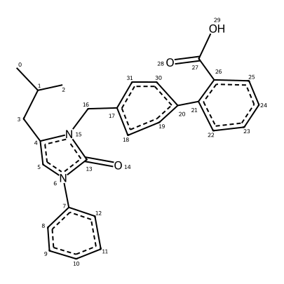 CC(C)Cc1cn(-c2ccccc2)c(=O)n1Cc1ccc(-c2ccccc2C(=O)O)cc1